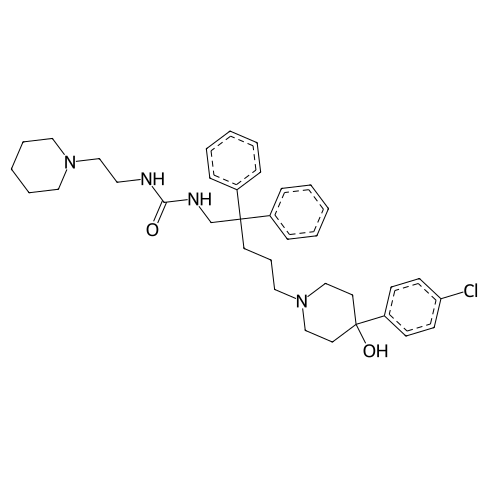 O=C(NCCN1CCCCC1)NCC(CCCN1CCC(O)(c2ccc(Cl)cc2)CC1)(c1ccccc1)c1ccccc1